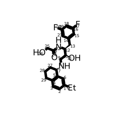 CCc1ccc2c(c1)[C@@H](NC[C@@H](O)[C@H](Cc1cc(F)cc(F)c1)NC(=O)CO)CCC2